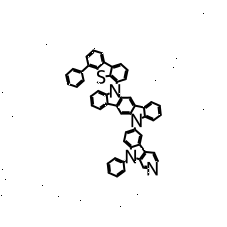 c1ccc(-c2cccc3c2sc2c(-n4c5ccccc5c5cc6c(cc54)c4ccccc4n6-c4ccc5c(c4)c4ccncc4n5-c4ccccc4)cccc23)cc1